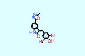 Cc1nnc(-c2ccc3c(c2)/C(=C/c2cc(Br)c(O)c(Br)c2)C(=O)N3)o1